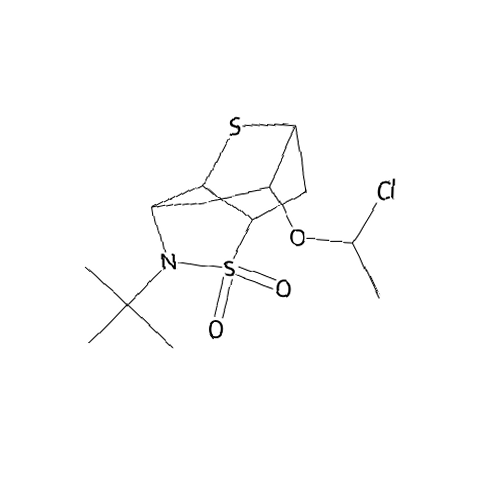 CC(Cl)OC1C2CC3C(S2)C1N(C(C)(C)C)S3(=O)=O